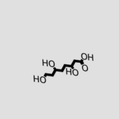 O=C(O)CC(O)CCC(O)CCO